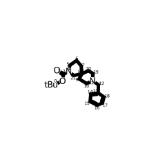 CC(C)(C)OC(=O)N1CCCC2(CCN(Cc3ccccc3)CC2)C1